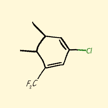 CC1C=C(Cl)C=C(C(F)(F)F)C1C